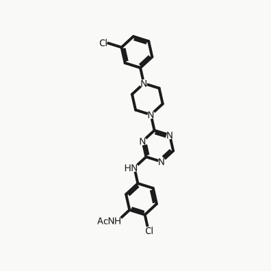 CC(=O)Nc1cc(Nc2ncnc(N3CCN(c4cccc(Cl)c4)CC3)n2)ccc1Cl